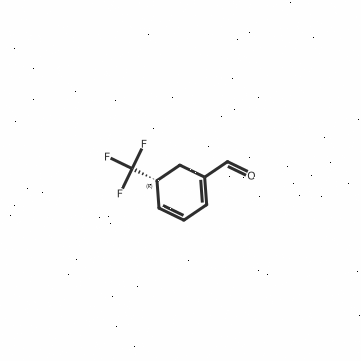 O=CC1=CC=C[C@H](C(F)(F)F)C1